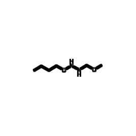 CCCCONNCOC